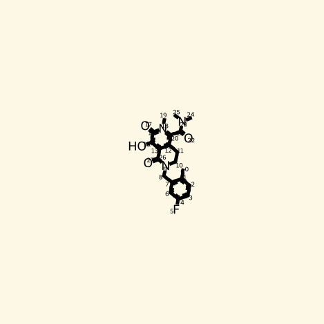 Cc1ccc(F)cc1CN1CCc2c(c(O)c(=O)n(C)c2C(=O)N(C)C)C1=O